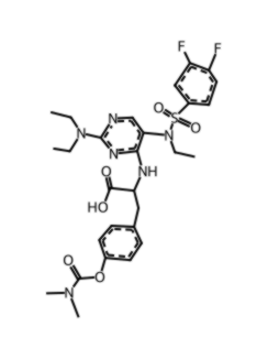 CCN(CC)c1ncc(N(CC)S(=O)(=O)c2ccc(F)c(F)c2)c(NC(Cc2ccc(OC(=O)N(C)C)cc2)C(=O)O)n1